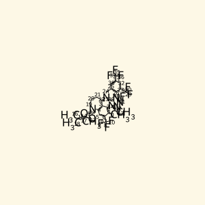 Cc1cc2c(cc1C(F)(F)F)N(C(=O)OC(C)(C)C)CCCC2N(Cc1cc(C(F)(F)F)cc(C(F)(F)F)c1)c1nnn(C)n1